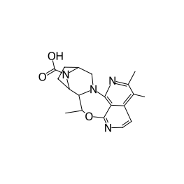 Cc1nc2c3c(nccc3c1C)OC(C)C1C3CCC(CN21)N3C(=O)O